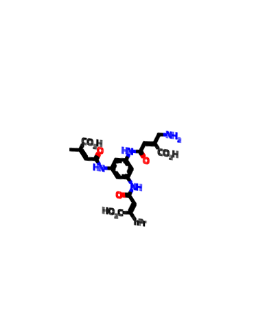 CCC/C(=C/C(=O)Nc1cc(NC(=O)/C=C(/C)C(=O)O)cc(NC(=O)/C=C(/CN)C(=O)O)c1)C(=O)O